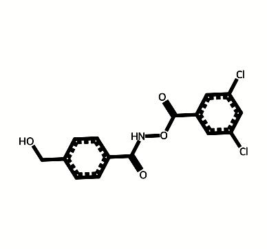 O=C(NOC(=O)c1cc(Cl)cc(Cl)c1)c1ccc(CO)cc1